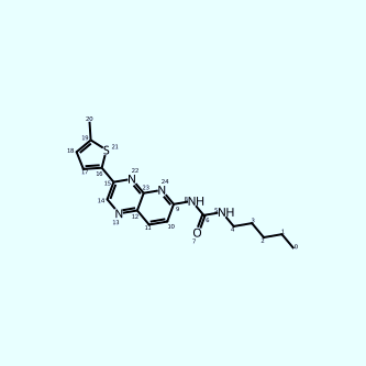 CCCCCNC(=O)Nc1ccc2ncc(-c3ccc(C)s3)nc2n1